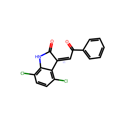 O=C1Nc2c(Cl)ccc(Cl)c2/C1=C/C(=O)c1ccccc1